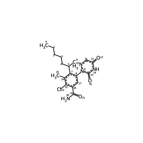 CCCCCC(C)c1c(-n2ncc(=O)[nH]c2=O)cc(C(N)=O)c(Cl)c1C